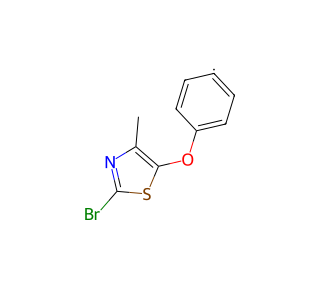 Cc1nc(Br)sc1Oc1cc[c]cc1